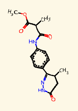 COC(=O)C(C)C(=O)Nc1ccc(C2=NNC(=O)CC2C)cc1